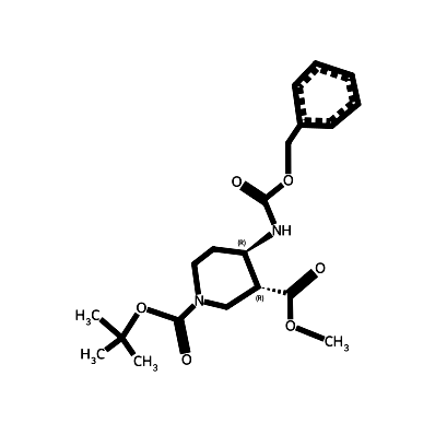 COC(=O)[C@@H]1CN(C(=O)OC(C)(C)C)CC[C@H]1NC(=O)OCc1ccccc1